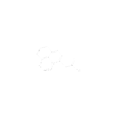 NC(=O)CC1=CC=C2CC=CC3=C2N1C=CN3